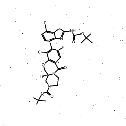 CC(C)(C)OC(=O)Nc1nc2c(-c3c(F)cc4c(c3Cl)OC[C@H]3CN(C(=O)OC(C)(C)C)CCN3C4=O)ccc(F)c2s1